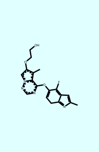 CC1=CC2=C(F)C(Oc3ncnn4cc(OCCO)c(C)c34)=CCC2=N1